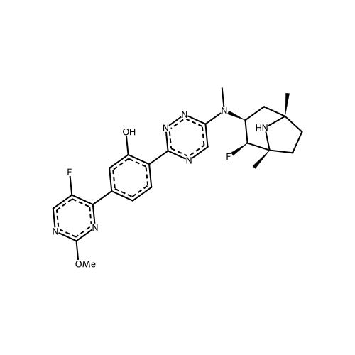 COc1ncc(F)c(-c2ccc(-c3ncc(N(C)[C@H]4C[C@]5(C)CC[C@@](C)(N5)[C@H]4F)nn3)c(O)c2)n1